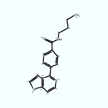 CCCCNC(=O)c1ccc(-c2nccc3occc23)cc1